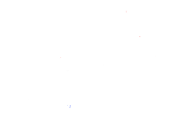 O=C(O)C1=CC2(CCC1S(=O)(=O)Nc1ccc(F)cc1F)OC(C(O)CO)C(C(O)CO)O2